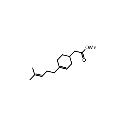 COC(=O)CC1CC=C(CCC=C(C)C)CC1